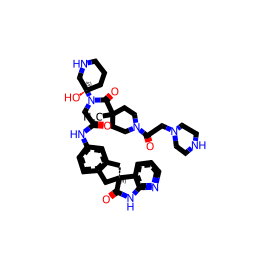 CC1(C(=O)N(CC(=O)Nc2ccc3c(c2)C[C@@]2(C3)C(=O)Nc3ncccc32)[C@]2(O)CCCNC2)CCN(C(=O)CN2CCNCC2)CC1